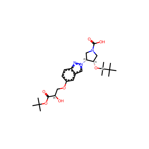 CC(C)(C)OC(=O)[C@H](O)COc1ccc2nn([C@@H]3CN(C(=O)O)C[C@@H]3O[Si](C)(C)C(C)(C)C)cc2c1